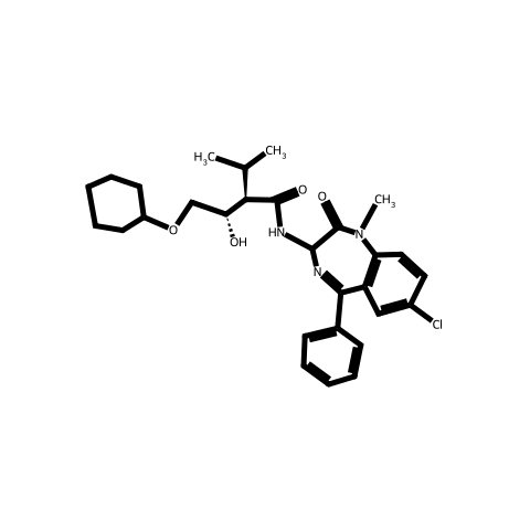 CC(C)[C@@H](C(=O)NC1N=C(c2ccccc2)c2cc(Cl)ccc2N(C)C1=O)[C@H](O)COC1CCCCC1